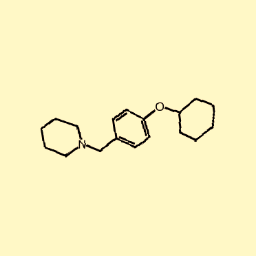 c1cc(OC2CCCCC2)ccc1CN1CCCCC1